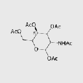 CC(=O)NC1C(OC(C)=O)OC(COC(C)=O)[C@@H](OC(C)=O)C1OC(C)=O